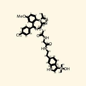 COc1ccc2c(c1)C(c1ccc(Cl)cc1)=N[C@@H](CC(=O)NCC(=O)NCCc1ccc3c([Si](C)(C)O)c[nH]c3c1)c1nnc(C)n1-2